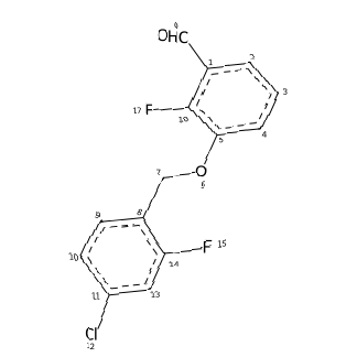 O=Cc1cccc(OCc2ccc(Cl)cc2F)c1F